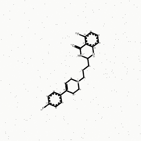 O=C1NC(CCCN2CC=C(c3ccc(F)cc3)CC2)Oc2cccc(F)c21